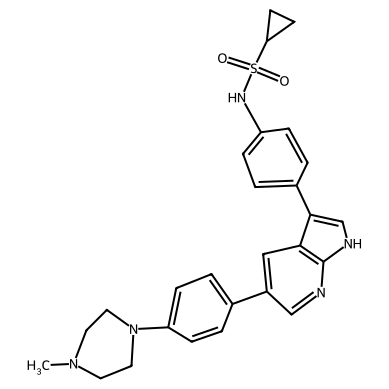 CN1CCN(c2ccc(-c3cnc4[nH]cc(-c5ccc(NS(=O)(=O)C6CC6)cc5)c4c3)cc2)CC1